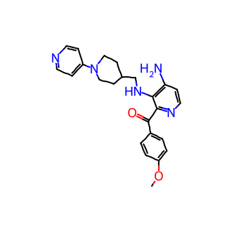 COc1ccc(C(=O)c2nccc(N)c2NCC2CCN(c3ccncc3)CC2)cc1